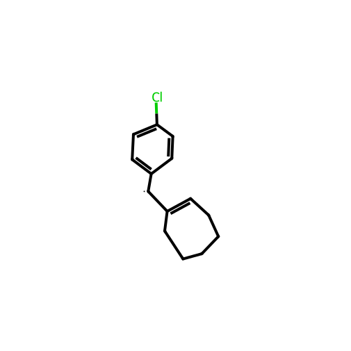 Clc1ccc([CH]C2=CCCCCC2)cc1